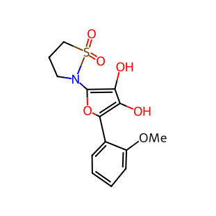 COc1ccccc1-c1oc(N2CCCS2(=O)=O)c(O)c1O